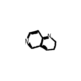 C1=c2cnccc2=NCC1